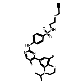 C#CCOCCNS(=O)(=O)c1ccc(Nc2ncc(F)c(-c3cc(F)c4c(c3)N(C(C)C)CCO4)n2)cc1